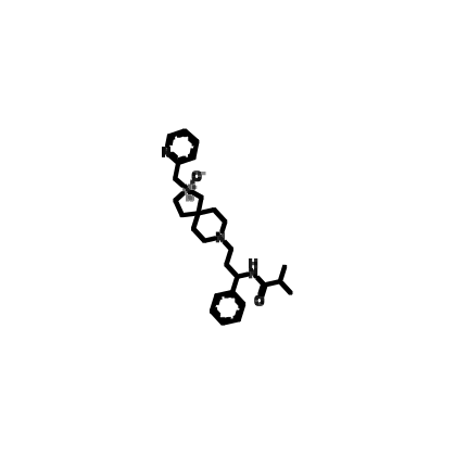 CC(C)C(=O)NC(CCN1CCC2(CC1)CC[N@@+]([O-])(Cc1ccccn1)C2)c1ccccc1